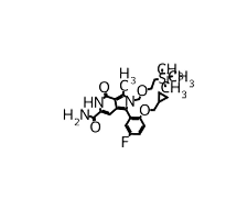 Cc1c2c(=O)[nH]c(C(N)=O)cc2c(-c2cc(F)ccc2OCC2CC2)n1COCC[Si](C)(C)C